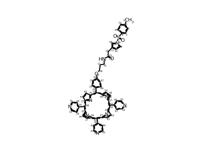 Cc1ccc(S(=O)(=O)n2ccc(CC(=O)NCCCOc3ccc(-c4c5nc(c(-c6ccncc6)c6ccc([nH]6)c(-c6ccncc6)c6nc(c(-c7ccncc7)c7ccc4[nH]7)C=C6)C=C5)cc3)c2)cc1